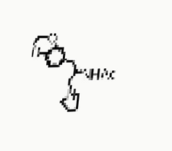 CC(=O)N[C@@H](Cc1ccc2c(c1)OCCO2)CN1CCCC1